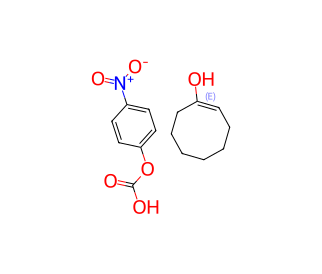 O/C1=C/CCCCCC1.O=C(O)Oc1ccc([N+](=O)[O-])cc1